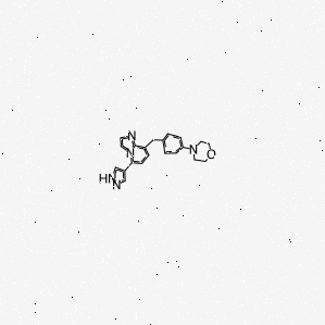 c1cn2c(-c3cn[nH]c3)ccc(Cc3ccc(N4CCOCC4)cc3)c2n1